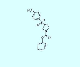 Cc1ccc(S(=O)(=O)C2CCN(C(=O)Oc3ccccc3)C2)cc1